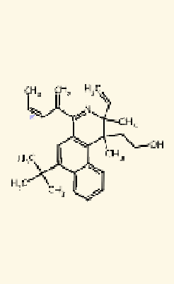 C=CC1(C)N=C(C(=C)/C=C\C)c2cc(C(C)(C)C)c3ccccc3c2C1(C)CCO